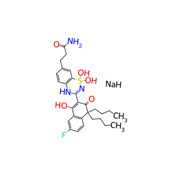 CCCCC1(CCCC)C(=O)C(C2=NS(O)(O)c3cc(CCC(N)=O)ccc3N2)=C(O)c2cc(F)ccc21.[NaH]